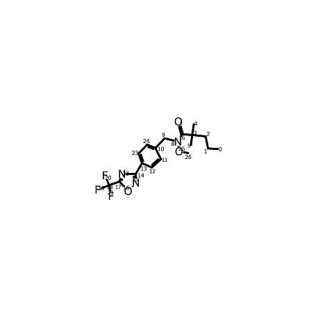 CCCC(C)(C)C(=O)N(Cc1ccc(-c2noc(C(F)(F)F)n2)cc1)OC